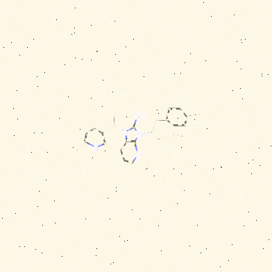 COCC(Cc1ccc(C)cc1)n1c(=N)n(C(C)c2ccc(Cl)nc2)c2cccnc21